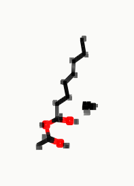 CCCCCCCC(=O)OC(C)=O.[Mn]